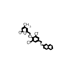 Cc1cc(COc2c(Cl)cc(CSc3ccc4ccccc4c3)cc2Cl)oc(=O)c1